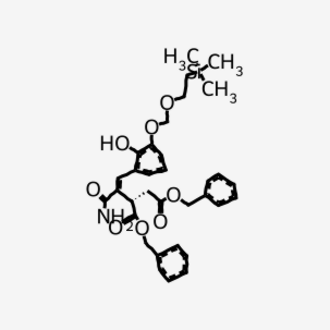 C[Si](C)(C)CCOCOc1cccc(/C=C(/C(N)=O)[C@H](CC(=O)OCc2ccccc2)C(=O)OCc2ccccc2)c1O